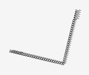 [O-2].[O-2].[O-2].[O-2].[O-2].[O-2].[O-2].[O-2].[O-2].[O-2].[O-2].[O-2].[O-2].[O-2].[O-2].[O-2].[O-2].[O-2].[O-2].[O-2].[O-2].[O-2].[O-2].[O-2].[O-2].[O-2].[O-2].[O-2].[O-2].[O-2].[O-2].[O-2].[O-2].[O-2].[O-2].[O-2].[O-2].[O-2].[O-2].[O-2].[O-2].[O-2].[O-2].[O-2].[O-2].[Zn+2].[Zn+2].[Zn+2].[Zn+2].[Zn+2].[Zn+2].[Zn+2].[Zn+2].[Zn+2].[Zn+2]